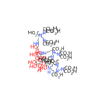 O=C(O)CN(CCN(CCN(CC(=O)O)CC(=O)O)C(CCCCNCC(O)COCC(O)C(OC1OC(COCC(O)CNCCCCC(C(=O)O)N(CCN(CC(=O)O)CC(=O)O)CCN(CC(=O)O)CC(=O)O)C(O)C(O)C1O)C(O)C(O)CNCCCCC(C(=O)O)N(CCN(CC(=O)O)CC(=O)O)CCN(CC(=O)O)CC(=O)O)C(=O)O)CC(=O)O